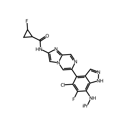 CC(C)Nc1c(F)c(Cl)c(-c2cn3cc(NC(=O)C4CC4F)nc3cn2)c2cn[nH]c12